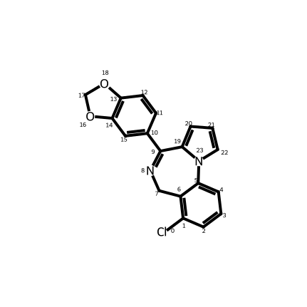 Clc1cccc2c1CN=C(c1ccc3c(c1)OCO3)c1cccn1-2